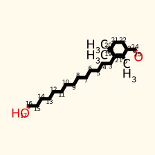 CC1=C(CCCCCCCCCCCCCCO)C(C)(C)CCC1C=O